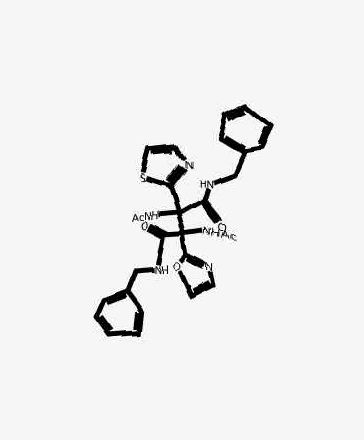 CC(=O)NC(C(=O)NCc1ccccc1)(c1ncco1)C(NC(C)=O)(C(=O)NCc1ccccc1)c1nccs1